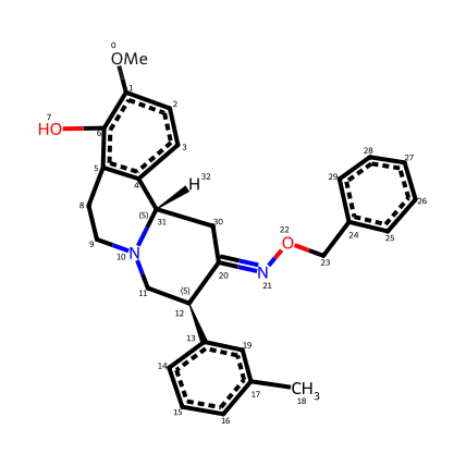 COc1ccc2c(c1O)CCN1C[C@H](c3cccc(C)c3)C(=NOCc3ccccc3)C[C@@H]21